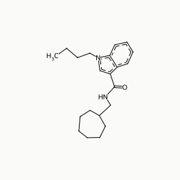 CCCCn1cc(C(=O)NCC2CCCCCC2)c2ccccc21